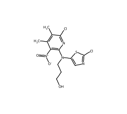 Cc1c(Cl)nc(N(CCCO)c2cnc(Cl)s2)c([N+](=O)[O-])c1C